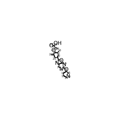 Cc1cc(-c2nc3cnc(Oc4cccnc4)nc3o2)cc(C)c1OC(C)C(=O)O